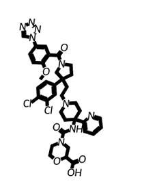 COc1ccc(-n2cnnn2)cc1C(=O)N1CCC(CCN2CCC(NC(=O)N3CCOC(C(=O)O)C3)(c3ccccn3)CC2)(c2ccc(Cl)c(Cl)c2)C1